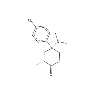 C[C@@H]1C[C@](c2ccc(Cl)cc2)(N(C)C)CCC1=O